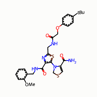 COc1ccccc1CNC(=O)c1nc(CNC(=O)COc2ccc(C(C)(C)C)cc2)sc1N1CSC=C1C(N)=O